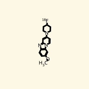 COc1ccc2nc3cc(N4CCC([18F])CC4)ccn3c2c1